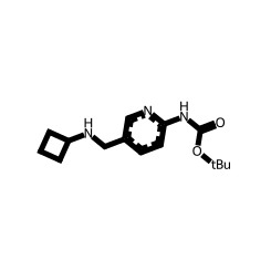 CC(C)(C)OC(=O)Nc1ccc(CNC2CCC2)cn1